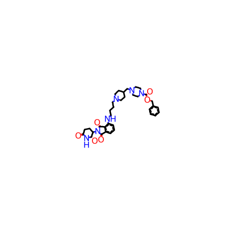 O=C1CCC(N2C(=O)c3cccc(NCCCCN4CCC(CN5CCN(C(=O)OCc6ccccc6)CC5)CC4)c3C2=O)C(=O)N1